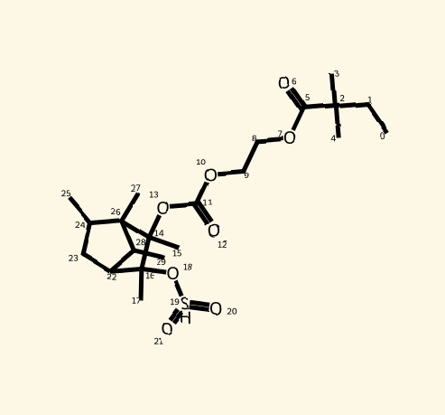 CCC(C)(C)C(=O)OCCOC(=O)OC1(C)C(C)(O[SH](=O)=O)C2CC(C)C1(C)C2C